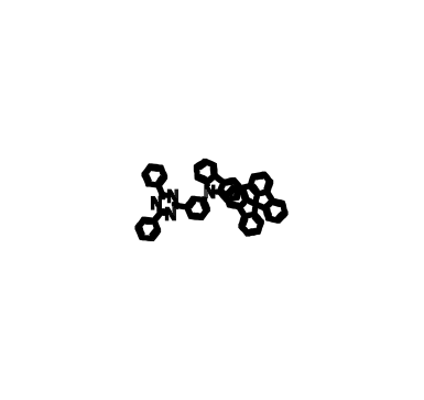 c1ccc(-c2nc(-c3ccccc3)nc(-c3cccc(-n4c5ccccc5c5cc(-c6cccc7c6C6(c8ccccc8-c8ccccc86)c6ccccc6-7)ccc54)c3)n2)cc1